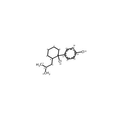 CN(C)CC1CCCCC1(Cl)c1ccc(Cl)nc1